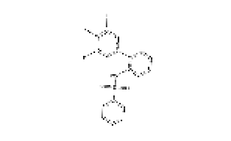 O=S(=O)(Nc1ccccc1-c1cc(F)c(F)c(F)c1)c1ccccc1